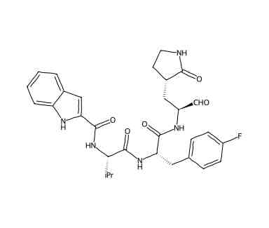 CC(C)[C@H](NC(=O)c1cc2ccccc2[nH]1)C(=O)N[C@@H](Cc1ccc(F)cc1)C(=O)N[C@H](C=O)C[C@@H]1CCNC1=O